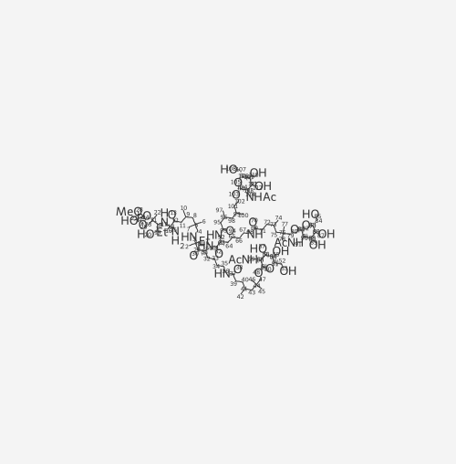 CCC(C)(NCC(C)(C)CC(C)CC(=O)C(N)(CC)NC(CO)C(C)(C)OP(=O)(O)OC)C(=O)[C@H](CCCCNC(=O)CCC(C)CC(C)(C)CO[C@@H]1O[C@H](CO)[C@H](O)[C@H](O)[C@H]1NC(C)=O)NC(=O)[C@H](CCCCNC(=O)CCC(C)CC(C)(C)CO[C@@H]1O[C@H](CO)[C@H](O)[C@H](O)[C@H]1NC(C)=O)NC(=O)CC(C)CC(C)CCO[C@@H]1O[C@H](CO)[C@H](O)[C@H](O)[C@H]1NC(C)=O